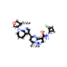 CNc1cc(-c2cnc3n([C@@H]4COC[C@H]4OC)cccc2-3)nc2c(C(=O)NC3CCC3F)cnn12